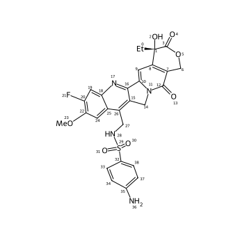 CC[C@@]1(O)C(=O)OCc2c1cc1n(c2=O)Cc2c-1nc1cc(F)c(OC)cc1c2CNS(=O)(=O)c1ccc(N)cc1